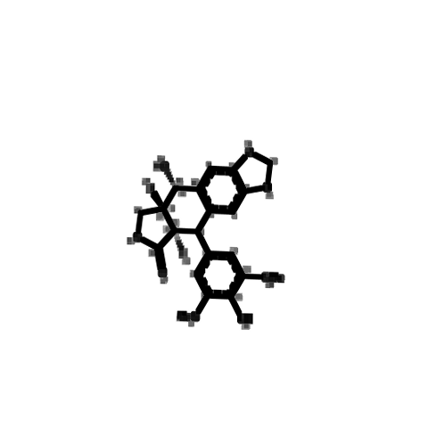 COc1cc(C2c3cc4c(cc3[C@@H](O)[C@H]3COC(=O)[C@H]23)OCO4)cc(OC)c1O